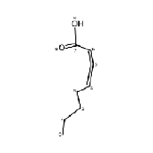 CCCCC=C=CC(=O)O